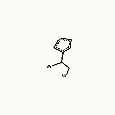 CCCC(CC#N)c1ccsc1